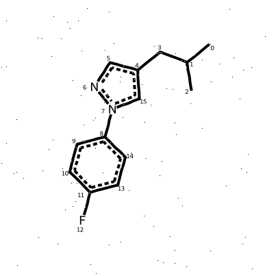 CC(C)Cc1cnn(-c2ccc(F)cc2)c1